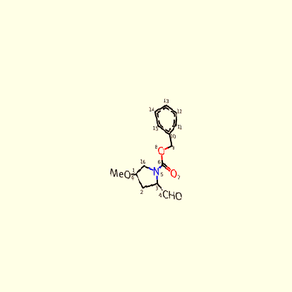 COC1CC(C=O)N(C(=O)OCc2ccccc2)C1